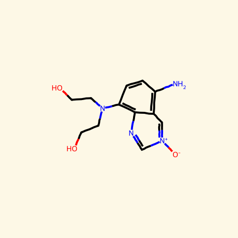 Nc1ccc(N(CCO)CCO)c2nc[n+]([O-])cc12